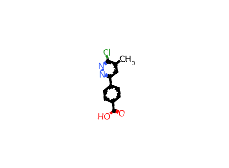 Cc1cc(-c2ccc(C(=O)O)cc2)nnc1Cl